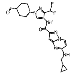 O=CC1CCC(n2cc(NC(=O)c3cc4nc(NCC5CC5)ccn4n3)c(C(F)F)n2)CC1